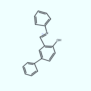 Oc1ccc(-c2ccccc2)cc1/C=N/c1ccccc1